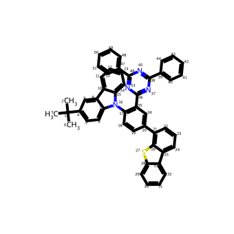 CC(C)(C)c1ccc2c(c1)c1ccccc1n2-c1ccc(-c2cccc3c2sc2ccccc23)cc1-c1nc(-c2ccccc2)nc(-c2ccccc2)n1